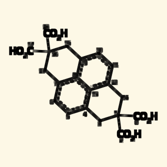 O=C(O)C1(C(=O)O)Cc2ccc3c4c(ccc(c24)C1)CC(C(=O)O)(C(=O)O)C3